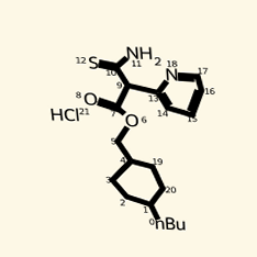 CCCCC1CCC(COC(=O)C(C(N)=S)c2ccccn2)CC1.Cl